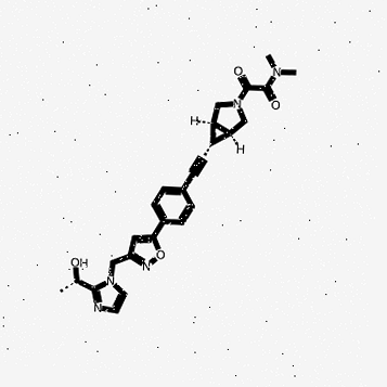 C[C@H](O)c1nccn1Cc1cc(-c2ccc(C#C[C@@H]3[C@H]4CN(C(=O)C(=O)N(C)C)C[C@@H]34)cc2)on1